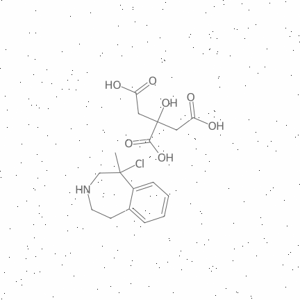 CC1(Cl)CNCCc2ccccc21.O=C(O)CC(O)(CC(=O)O)C(=O)O